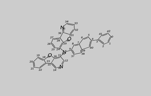 c1ccc(-c2ccc3cc(N(c4cncc5c4oc4ccccc45)c4cccc5c4oc4cccnc45)ccc3c2)cc1